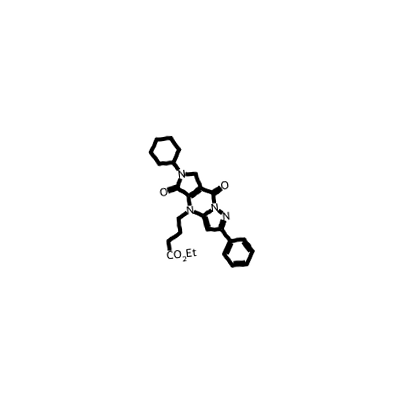 CCOC(=O)CCCn1c2c(c(=O)n3nc(-c4ccccc4)cc13)CN(C1CCCCC1)C2=O